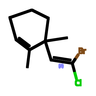 CC1=CCCCC1(C)/C=C(/Cl)Br